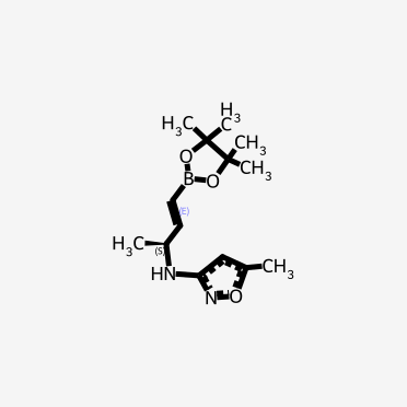 Cc1cc(N[C@@H](C)/C=C/B2OC(C)(C)C(C)(C)O2)no1